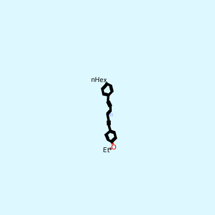 CCCCCCc1ccc(C#C/C=C/C#Cc2ccc(OCC)cc2)cc1